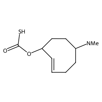 CNC1CC/C=C/C(OC(=O)S)CC1